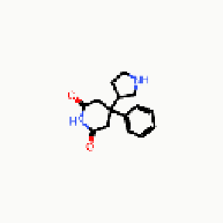 O=C1CC(c2ccccc2)(C2CCNC2)CC(=O)N1